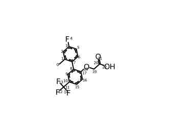 Cc1cc(F)ccc1-c1cc(C(F)(F)F)ccc1OCC(=O)O